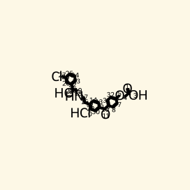 Cl.O=C(O)COc1ccc(C(=O)c2ccc(CCNC[C@H](O)c3cccc(Cl)c3)cc2)cc1